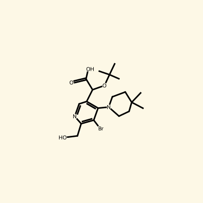 CC1(C)CCN(c2c(C(OC(C)(C)C)C(=O)O)cnc(CO)c2Br)CC1